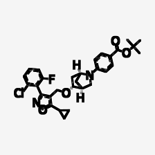 CC(C)(C)OC(=O)c1ccc(N2C[C@@H]3C[C@H]2C[C@H]3OCc2c(-c3c(F)cccc3Cl)noc2C2CC2)cc1